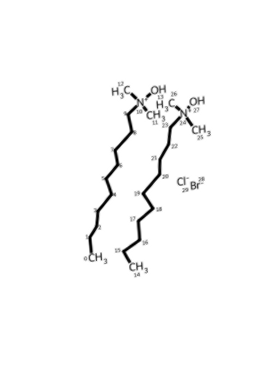 CCCCCCCCCC[N+](C)(C)O.CCCCCCCCCC[N+](C)(C)O.[Br-].[Cl-]